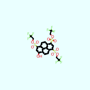 O=S(=O)(OCC(F)(F)F)c1cc(O)c2ccc3c(S(=O)(=O)OCC(F)(F)F)cc(S(=O)(=O)OCC(F)(F)F)c4ccc1c2c34